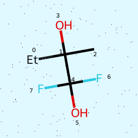 CCC(C)(O)C(O)(F)F